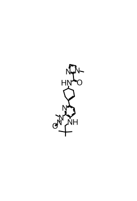 CN(N=O)c1nc(C2=CCC(NC(=O)c3nccn3C)CC2)ccc1NCC(C)(C)C